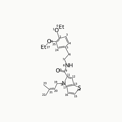 CCOc1ccc(CCNC(=O)c2cc3sccc3n2CC=C(C)C)cc1OCC